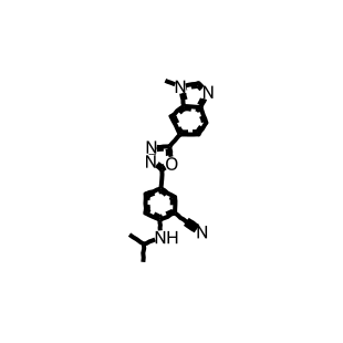 CC(C)Nc1ccc(-c2nnc(-c3ccc4ncn(C)c4c3)o2)cc1C#N